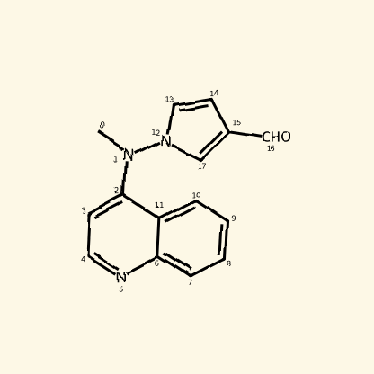 CN(c1ccnc2ccccc12)n1ccc(C=O)c1